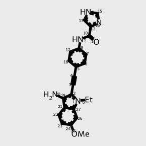 CCn1c(C#Cc2ccc(NC(=O)c3c[nH]cn3)cc2)c(N)c2ccc(OC)cc21